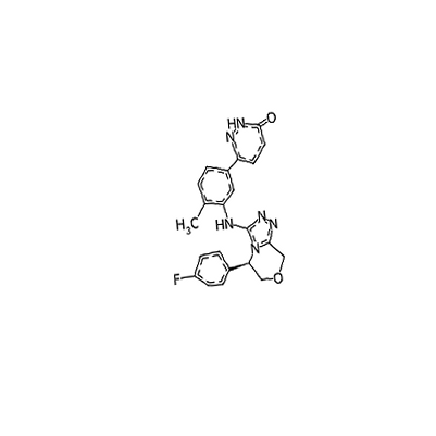 Cc1ccc(-c2ccc(=O)[nH]n2)cc1Nc1nnc2n1[C@H](c1ccc(F)cc1)COC2